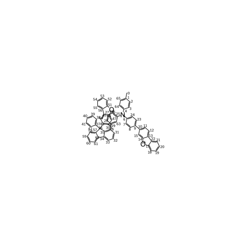 Cc1ccc(N(c2ccc(-c3ccc4c(c3)oc3ccccc34)cc2)c2cccc(-c3cccc4c3C(c3ccccc3)(c3cc5c(cc3C)oc3ccccc35)c3ccccc3-4)c2)cc1